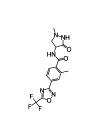 Cc1cc(-c2noc(C(F)(F)F)n2)ccc1C(=O)NC1CN(C)NC1=O